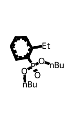 CCCCOP(=O)(OCCCC)c1ccccc1CC